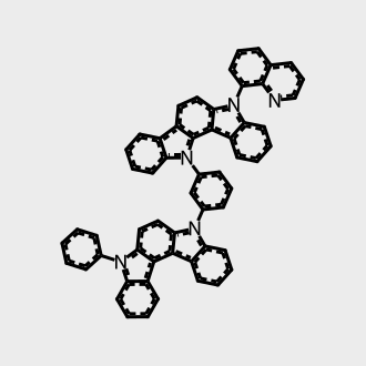 c1ccc(-n2c3ccccc3c3c4c5ccccc5n(-c5cccc(-n6c7ccccc7c7ccc8c(c9ccccc9n8-c8cccc9cccnc89)c76)c5)c4ccc32)cc1